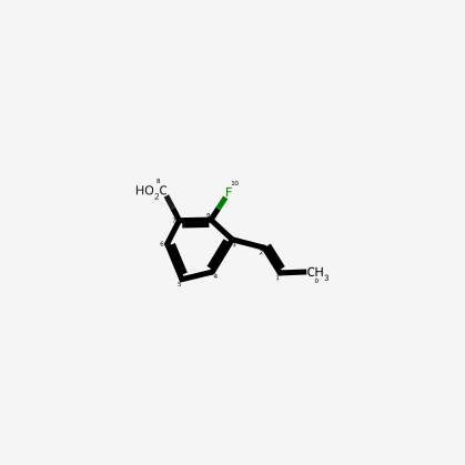 CC=Cc1cccc(C(=O)O)c1F